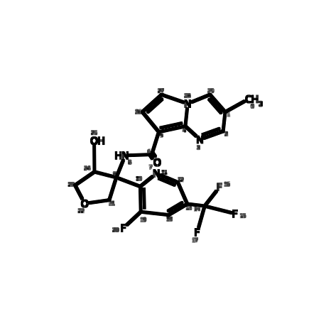 Cc1cnc2c(C(=O)NC3(c4ncc(C(F)(F)F)cc4F)COCC3O)ccn2c1